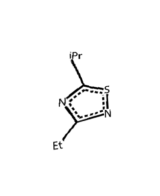 CCc1nsc(C(C)C)n1